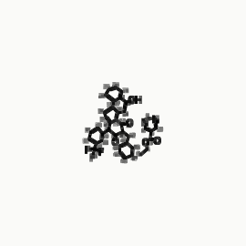 CCOC(=O)c1cncnc1.O=C1c2c(ccc3c2cc(O)c2ccccc23)C(c2cccc(C(F)(F)F)c2)C(=O)C1Cc1ccccc1